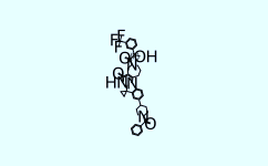 O=C(c1ccccc1)N1CCC(c2cccc(C3(c4nc5c(c(=O)[nH]4)CN(C(=O)[C@H](O)c4cccc(C(F)(F)F)c4)CCC5)CC3)c2)CC1